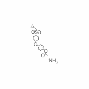 NCCC(=O)Oc1ccc(Oc2ccc(S(=O)(=O)CC3CC3)cc2)cc1